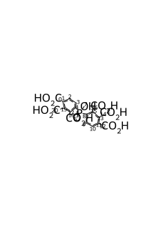 O=C(O)c1ccc(P(=O)(O)c2ccc(C(=O)O)c(C(=O)O)c2C(=O)O)c(C(=O)O)c1C(=O)O